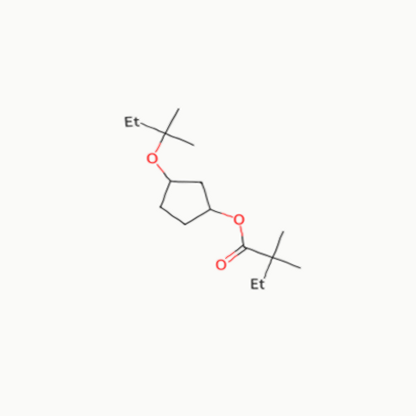 CCC(C)(C)OC1CCC(OC(=O)C(C)(C)CC)C1